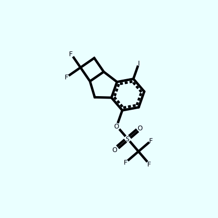 O=S(=O)(Oc1ccc(I)c2c1CC1C2CC1(F)F)C(F)(F)F